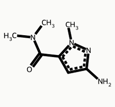 CN(C)C(=O)c1cc(N)nn1C